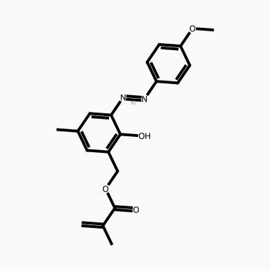 C=C(C)C(=O)OCc1cc(C)cc(/N=N/c2ccc(OC)cc2)c1O